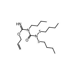 C=CCOC(=N)N(CCCC)C(=O)N(SCCCC)SCCCC